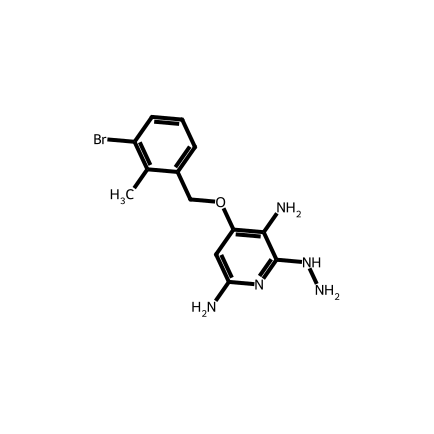 Cc1c(Br)cccc1COc1cc(N)nc(NN)c1N